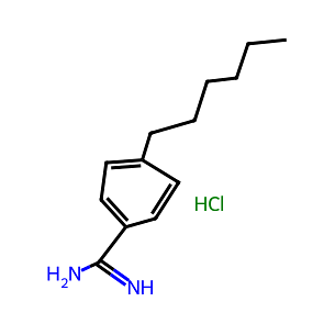 CCCCCCc1ccc(C(=N)N)cc1.Cl